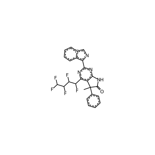 CC1(c2ccccc2)C(=O)Nc2nc(-c3ncn4ccccc34)nc(C(F)C(F)C(F)C(F)F)c21